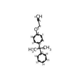 C#CCOc1ccc(C(C)(C)c2ccccc2)cc1